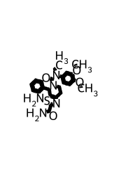 CCN(C(=O)N1CCc2nc(C(N)=O)sc2C1c1ccccc1N)c1ccc(OC)c(OC)c1